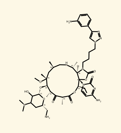 CC[C@H]1OC(=O)[C@H](C)C(=O)[C@H](C)[C@@H](O[C@@H]2O[C@H](CN)CC(N(C)C)C2O)[C@](C)(OC)C[C@@H](C)CN[C@H](C)[C@H]2N(CCCCn3cc(-c4cccc(N)c4)nn3)C(=O)O[C@]12n1ccc(N)nc1=O